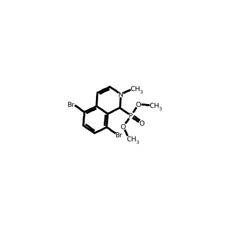 COP(=O)(OC)C1c2c(Br)ccc(Br)c2C=CN1C